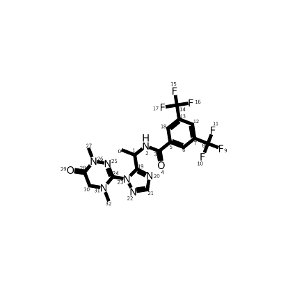 CC(NC(=O)c1cc(C(F)(F)F)cc(C(F)(F)F)c1)c1ncnn1C1=NN(C)C(=O)CN1C